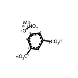 O=C(O)c1cccc(C(=O)O)c1.O=[N+]([O-])[O-].[Mn]